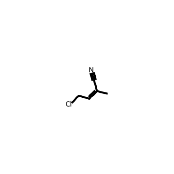 C/C(C#N)=C/CCl